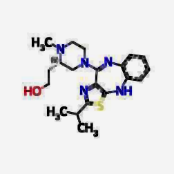 CC(C)c1nc2c(s1)Nc1ccccc1N=C2N1CCN(C)[C@@H](CCO)C1